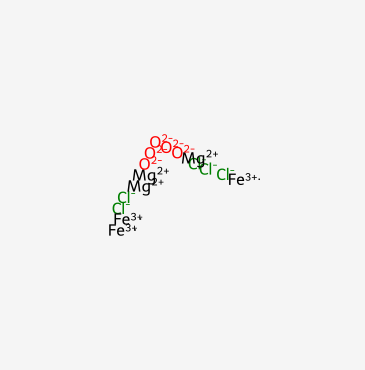 [Cl-].[Cl-].[Cl-].[Cl-].[Cl-].[Fe+3].[Fe+3].[Fe+3].[Mg+2].[Mg+2].[Mg+2].[O-2].[O-2].[O-2].[O-2].[O-2]